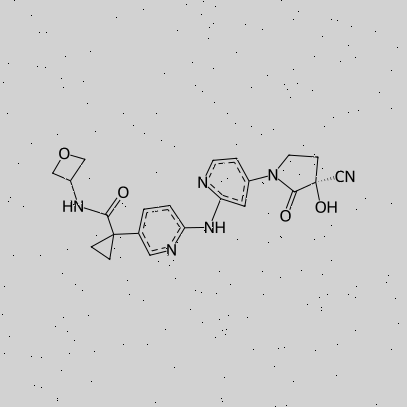 N#C[C@@]1(O)CCN(c2ccnc(Nc3ccc(C4(C(=O)NC5COC5)CC4)cn3)c2)C1=O